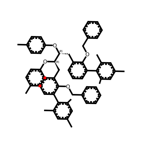 Cc1ccc(O[C@H](Cc2cccc(-c3c(C)cc(C)cc3C)c2OCc2ccccc2)[C@@H](Cc2cccc(-c3c(C)cc(C)cc3C)c2OCc2ccccc2)Oc2ccc(C)cc2)cc1